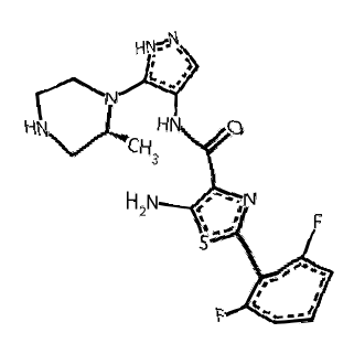 C[C@H]1CNCCN1c1[nH]ncc1NC(=O)c1nc(-c2c(F)cccc2F)sc1N